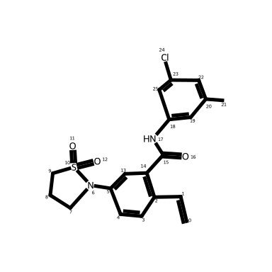 C=Cc1ccc(N2CCCS2(=O)=O)cc1C(=O)Nc1cc(C)cc(Cl)c1